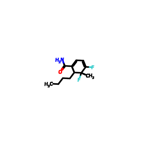 CCCCC1C(C(N)=O)=CC=C(F)C1(C)F